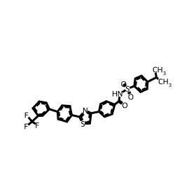 CC(C)c1ccc(S(=O)(=O)NC(=O)c2ccc(-c3csc(-c4ccc(-c5cccc(C(F)(F)F)c5)cc4)n3)cc2)cc1